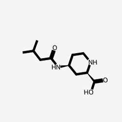 CC(C)CC(=O)N[C@H]1CCN[C@@H](C(=O)O)C1